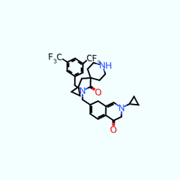 O=C1CN(C2CC2)C=C2CC(CN(Cc3cc(C(F)(F)F)cc(C(F)(F)F)c3)C(=O)C3(CC4CC4)CCNCC3)=CC=C12